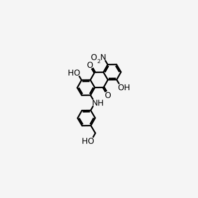 O=C1c2c(O)ccc([N+](=O)[O-])c2C(=O)c2c(O)ccc(Nc3cccc(CO)c3)c21